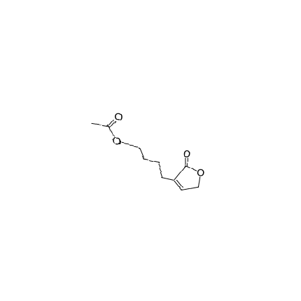 CC(=O)OCCCCC1=CCOC1=O